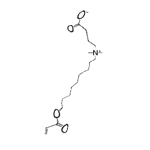 C=CC(=O)OCCCCCCCCC[N+](C)(C)CCCC(=O)[O-]